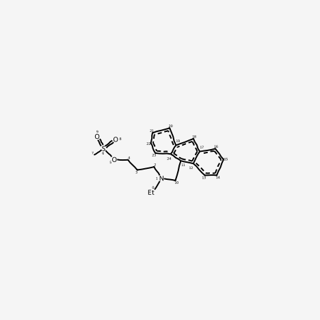 CCN(CCCOS(C)(=O)=O)Cc1c2ccccc2cc2ccccc12